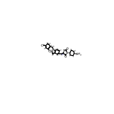 N[C@H]1CC[C@H](N2C(=O)S/C(=C\c3ccc4c(cnn4Cc4ccc(Cl)cc4C(F)(F)F)c3)C2=O)CC1